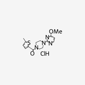 COc1ccnc(N2CCN(C(=O)c3ccc(C)s3)CC2)n1.Cl